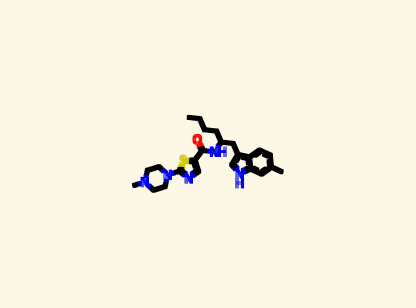 CCCCC(Cc1c[nH]c2cc(C)ccc12)NC(=O)c1cnc(N2CCN(C)CC2)s1